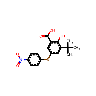 CC(C)(C)c1cc(Sc2ccc([N+](=O)[O-])cc2)cc(C(=O)O)c1O